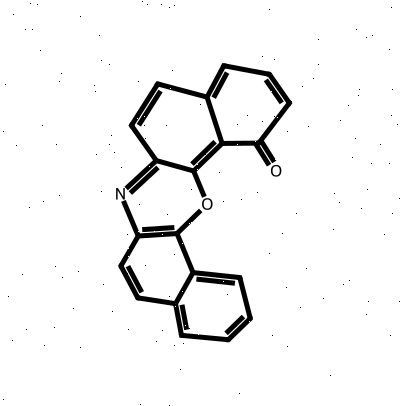 O=c1cccc2ccc3nc4ccc5ccccc5c4oc3c12